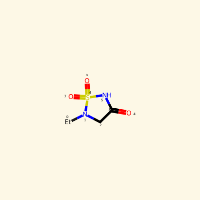 CCN1CC(=O)NS1(=O)=O